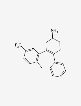 NC1CCC2=C(C1)c1cc(C(F)(F)F)ccc1Cc1ccccc12